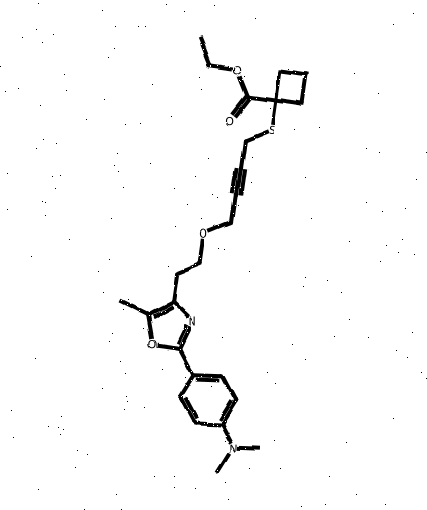 CCOC(=O)C1(SCC#CCOCCc2nc(-c3ccc(N(C)C)cc3)oc2C)CCC1